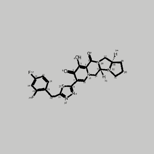 O=C1c2c(O)c(=O)c(-c3nnc(Cc4ccc(F)cc4F)s3)cn2C[C@@H]2N1C[C@H]1CCCN12